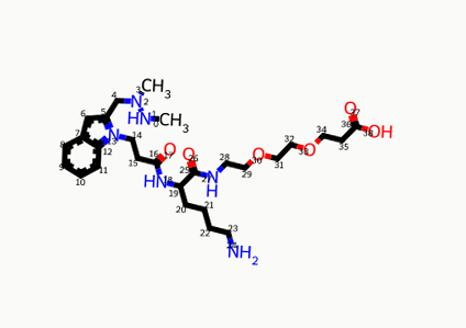 CNN(C)Cc1cc2ccccc2n1CCC(=O)NC(CCCCN)C(=O)NCCOCCOCCC(=O)O